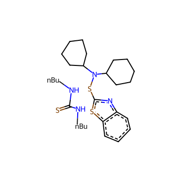 CCCCNC(=S)NCCCC.c1ccc2sc(SN(C3CCCCC3)C3CCCCC3)nc2c1